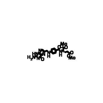 Nc1nc(=O)c2nc(CNc3ccc(C(=O)N[C@@H](CCC(=O)[O][Mo])C(=O)[O][Mo])cc3)cnc2[nH]1